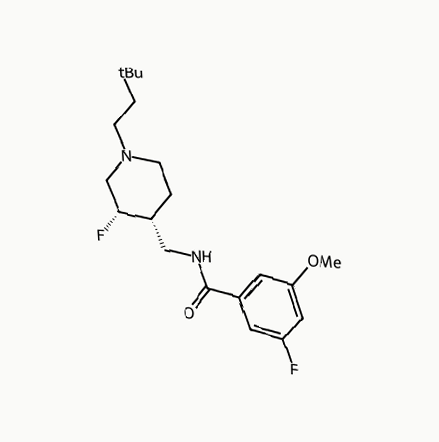 COc1cc(F)cc(C(=O)NC[C@H]2CCN(CCC(C)(C)C)C[C@H]2F)c1